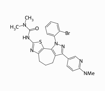 CNc1ccc(-c2nn(-c3ccccc3Br)c3c2CCCc2nc(NC(=O)N(C)C)sc2-3)cn1